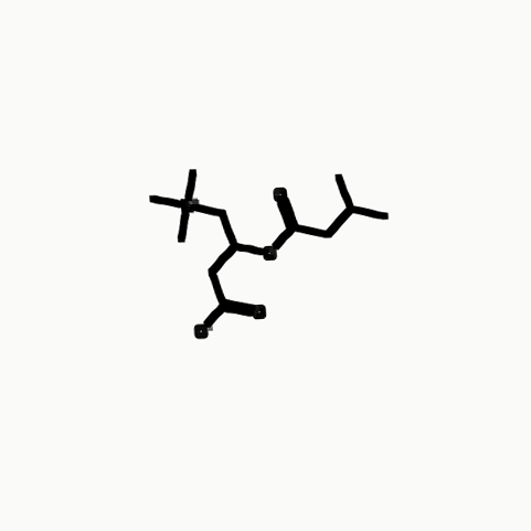 CC(C)CC(=O)OC(CC(=O)[O-])C[N+](C)(C)C